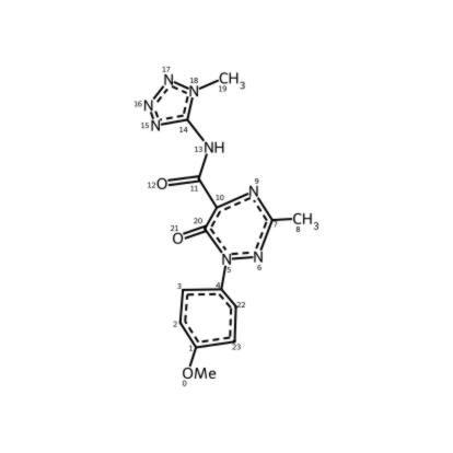 COc1ccc(-n2nc(C)nc(C(=O)Nc3nnnn3C)c2=O)cc1